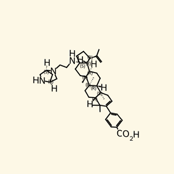 C=C(C)[C@@H]1CC[C@]2(NCCN3C[C@@H]4C[C@H]3CN4)CC[C@]3(C)[C@H](CC[C@@H]4[C@@]5(C)CC=C(c6ccc(C(=O)O)cc6)C(C)(C)[C@@H]5CC[C@]43C)[C@@H]12